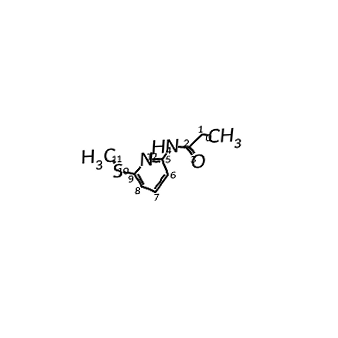 CCC(=O)Nc1cccc(SC)n1